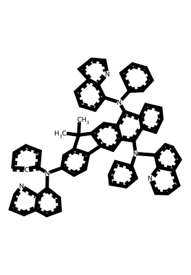 CC1(C)c2cc(N(c3ccccc3)c3cccc4cccnc34)ccc2-c2cc3c(N(c4ccccc4)c4cccc5cccnc45)c4ccccc4c(N(c4ccccc4)c4cccc5cccnc45)c3cc21